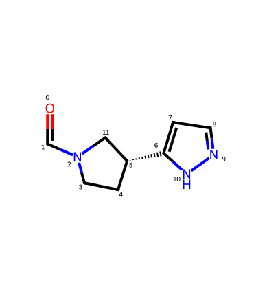 O=CN1CC[C@@H](c2ccn[nH]2)C1